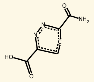 NC(=O)c1ccc(C(=O)O)nn1